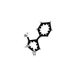 Brc1n[nH][c]c1-c1ccccc1